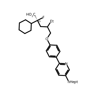 CCCCCCCc1ccc(-c2ccc(OCC(CC)C[C@@](F)(C(=O)O)C3CCCCC3)cc2)nc1